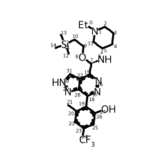 CCN1CCC[C@H](N[C@H](OCC[Si](C)(C)C)c2nnc(-c3c(C)cc(C(F)(F)F)cc3O)c3n[nH]cc23)C1